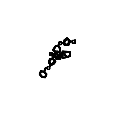 NC1CC2CCC(C1)N2C(=O)[C@@H]1C[C@@H](Oc2ccc(Cl)cc2)CCN1S(=O)(=O)c1ccc(OCC2CCCCC2)cc1